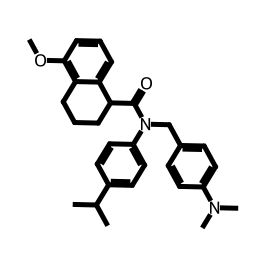 COc1cccc2c1CCCC2C(=O)N(Cc1ccc(N(C)C)cc1)c1ccc(C(C)C)cc1